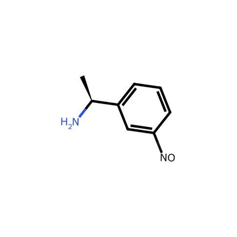 C[C@H](N)c1cccc(N=O)c1